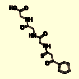 O=C(O)CNC(=O)CNC(=O)CNC(=S)CC(=O)c1ccccc1